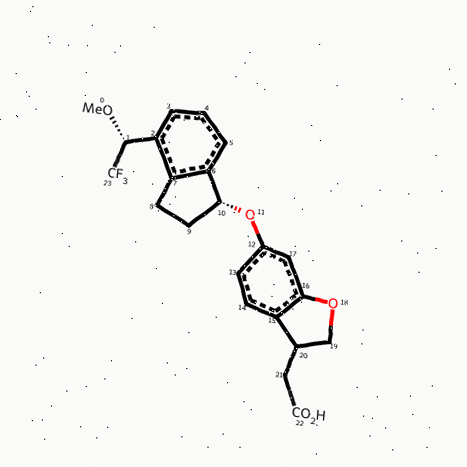 CO[C@H](c1cccc2c1CC[C@H]2Oc1ccc2c(c1)OCC2CC(=O)O)C(F)(F)F